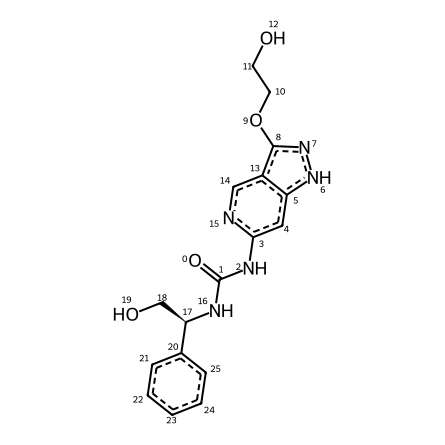 O=C(Nc1cc2[nH]nc(OCCO)c2cn1)N[C@H](CO)c1ccccc1